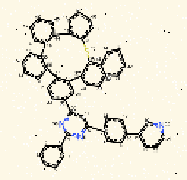 c1ccc(-c2nc(-c3ccc(-c4cccnc4)cc3)cc(-c3ccc4c(c3)-c3ccc5ccccc5c3Sc3ccccc3-c3ccccc3-c3ccccc3-4)n2)cc1